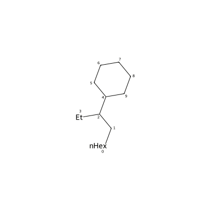 [CH2]CCCCCCC(C[CH2])C1CCCCC1